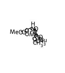 COCOc1ccc(CSNC(=O)OCC(COC(=O)C(C)(C)C)Cc2ccc(C)c(C)c2)cc1OC